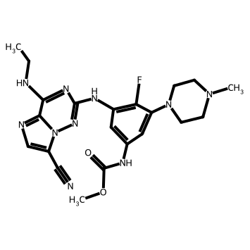 CCNc1nc(Nc2cc(NC(=O)OC)cc(N3CCN(C)CC3)c2F)nn2c(C#N)cnc12